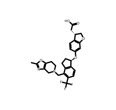 Cc1nc2c(o1)CCN(Cc1c(C(F)(F)F)ccc3c1CC[C@H]3Oc1ccc3c(c1)OC[C@H]3CC(=O)O)C2